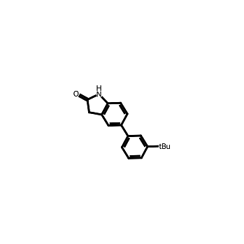 CC(C)(C)c1cccc(-c2ccc3c(c2)CC(=O)N3)c1